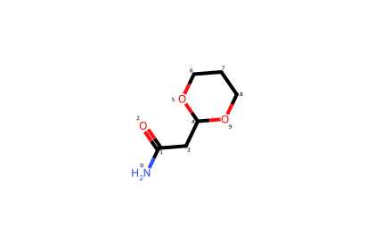 NC(=O)CC1OCCCO1